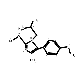 COc1ccc(-c2cnc(SC)n2CC(C)C)cc1.Cl